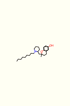 CCCCCCCCCN1CCCCC1CC1(C)CCc2cc(O)ccc2O1